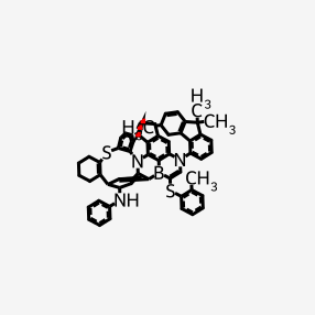 Cc1ccccc1SC1=CN(c2cccc3c2C2=C(C=CC(C)C2)C3(C)C)c2cc3c(c4c2B1C1=CC2C5=C(CCCC5)Sc5ccccc5N4C1=CC2Nc1ccccc1)-c1ccccc1C3